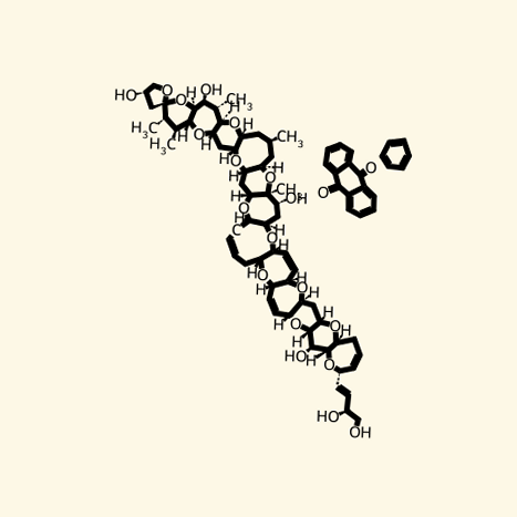 C[C@@H]1C[C@@H]2O[C@@H]3[C@@H](C)[C@H](O)[C@@H]4O[C@]5(C[C@H](O)CO5)[C@@H](C)[C@H](C)[C@H]4O[C@H]3C[C@H]2O[C@H]2C[C@H]3O[C@H]4C/C=C\C[C@H]5O[C@H]6C=C[C@H]7O[C@H]8[C@H](O)[C@H]9O[C@@H](/C=C/[C@H](O)CO)C=CC[C@@H]9O[C@@H]8C[C@@H]7O[C@@H]6C=C[C@@H]5O[C@@H]4C[C@@H](O)[C@]3(C)O[C@@H]2C1.O=C1c2ccccc2C(=O)c2ccccc21.c1ccccc1